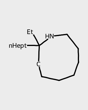 CCCCCCCC1(CC)CCCCCCCN1